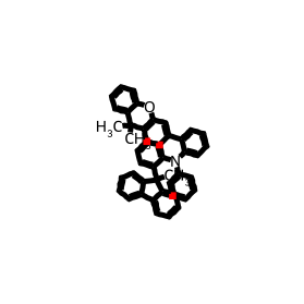 CC1(C)C2=C(C=C(c3ccccc3N(C3=C=C=CC=C3)c3ccccc3C3(C)c4ccccc4-c4ccccc43)CC2)Oc2ccccc21